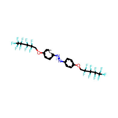 FC(F)(F)C(F)(F)C(F)(F)C(F)(F)COc1ccc(/N=N/c2ccc(OCC(F)(F)C(F)(F)C(F)(F)C(F)(F)F)cc2)cc1